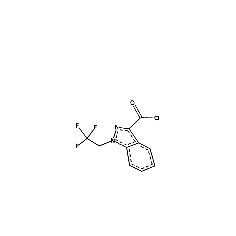 O=C(Cl)c1nn(CC(F)(F)F)c2ccccc12